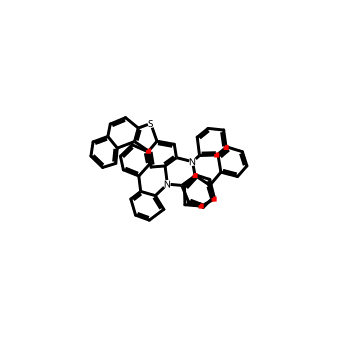 c1ccc(-c2ccccc2N(c2ccccc2)c2cc3sc4ccc5ccccc5c4c3cc2N(c2ccccc2)c2ccccc2-c2ccccc2)cc1